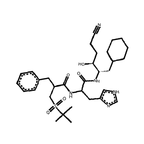 CC(C)(C)S(=O)(=O)CC(Cc1ccccc1)C(=O)NC(Cc1c[nH]cn1)C(=O)N[C@@H](CC1CCCCC1)[C@@H](O)CCC#N